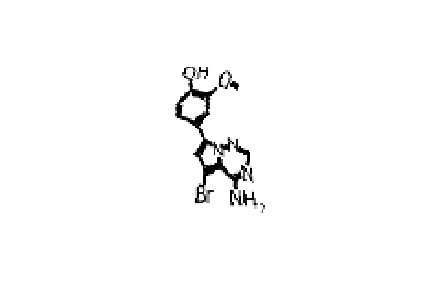 COc1cc(-c2cc(Br)c3c(N)ncnn23)ccc1O